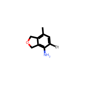 CCc1cc(C)c2c(c1N)COC2